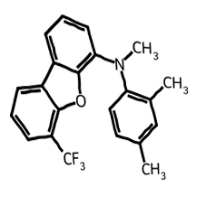 Cc1ccc(N(C)c2cccc3c2oc2c(C(F)(F)F)cccc23)c(C)c1